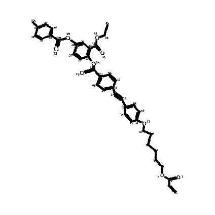 C=CC(=O)OCCCCCCOc1ccc(C#Cc2ccc(C(=O)Oc3ccc(OC(=O)c4ccc(I)cc4)cc3C(=O)OCC)cc2)cc1